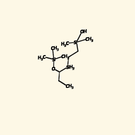 CCC(O[Si](C)(C)C)[SiH2]CC[Si](C)(C)O